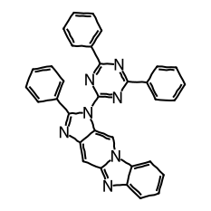 c1ccc(-c2nc(-c3ccccc3)nc(-n3c(-c4ccccc4)nc4cc5nc6ccccc6n5cc43)n2)cc1